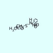 CN(C)Cc1ccc(CSCCNC2=NS(=O)(=O)c3ccccc32)o1